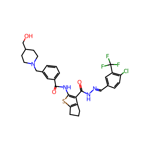 O=C(Nc1sc2c(c1C(=O)N/N=C/c1ccc(Cl)c(C(F)(F)F)c1)CCC2)c1cccc(CN2CCC(CO)CC2)c1